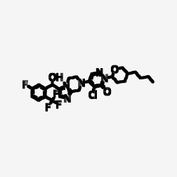 CCCCC1CCC(n2ncc(N3CCn4c(C(O)c5cc(F)ccc5C(F)(F)F)cnc4C3)c(Cl)c2=O)OC1